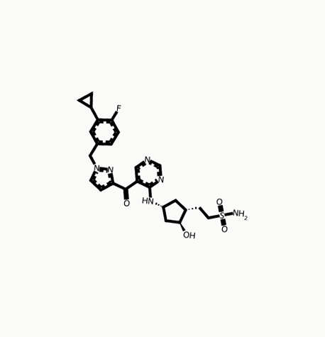 NS(=O)(=O)CC[C@H]1C[C@@H](Nc2ncncc2C(=O)c2ccn(Cc3ccc(F)c(C4CC4)c3)n2)C[C@@H]1O